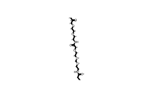 CCC(=O)NCCOCOCCOCC(=O)NCCOCCOCC(C)=O